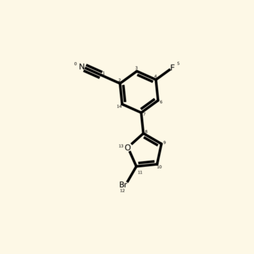 N#Cc1cc(F)cc(-c2ccc(Br)o2)c1